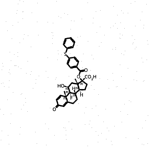 C[C@]12C=CC(=O)C=C1CC[C@H]1[C@@H]3CC[C@](OC(=O)c4ccc(Sc5ccccc5)cc4)(C(=O)O)[C@@]3(C)C[C@H](O)[C@@]12F